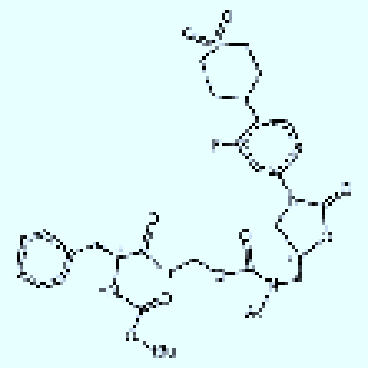 CC(=O)N(C[C@H]1CN(c2ccc(C3CCS(=O)(=O)CC3)c(F)c2)C(=O)O1)C(=O)OCOC(=O)[C@H](Cc1ccccc1)NC(=O)OC(C)(C)C